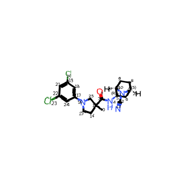 CC1(C(=O)N[C@@H]2C[C@@H]3CC[C@H]2N3C#N)CCN(c2cc(Cl)cc(Cl)c2)C1